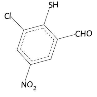 O=Cc1cc([N+](=O)[O-])cc(Cl)c1S